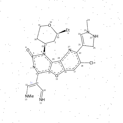 CC[C@H]1C[C@@H](n2c(=O)nc(/C(C=N)=C/NC)c3oc4cc(Cl)c(C5=CN(C)NC5)nc4c32)CCO1